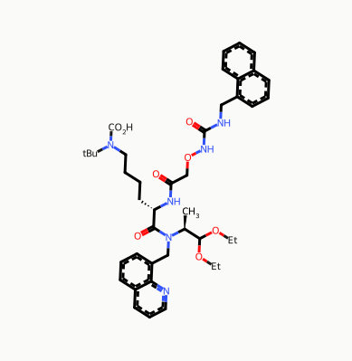 CCOC(OCC)[C@H](C)N(Cc1cccc2cccnc12)C(=O)[C@H](CCCCN(C(=O)O)C(C)(C)C)NC(=O)CONC(=O)NCc1cccc2ccccc12